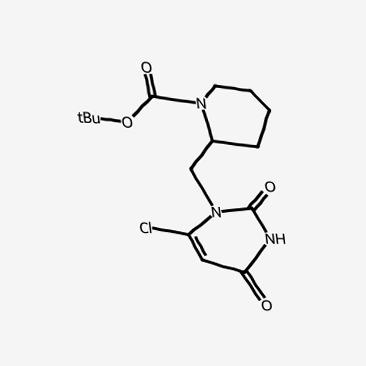 CC(C)(C)OC(=O)N1CCCCC1Cn1c(Cl)cc(=O)[nH]c1=O